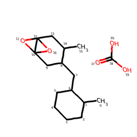 CC1CCCCC1CC1CC23OC2(CC1C)O3.O=C(O)O